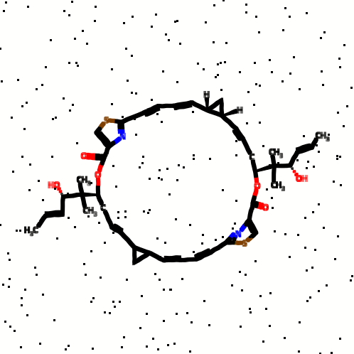 C/C=C/[C@H](O)C(C)(C)[C@@H]1C/C=C\[C@H]2C[C@H]2/C=C/C=C\c2nc(cs2)C(=O)O[C@H](C(C)(C)[C@@H](O)/C=C/C)C/C=C\C2CC2/C=C/C=C\c2nc(cs2)C(=O)O1